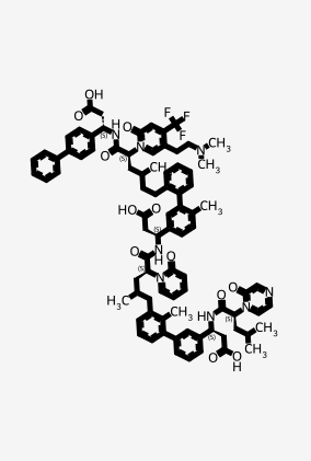 Cc1ccc([C@H](CC(=O)O)NC(=O)[C@H](CC(C)Cc2cccc(-c3cccc([C@H](CC(=O)O)NC(=O)[C@H](CC(C)C)n4ccncc4=O)c3)c2C)n2ccccc2=O)cc1-c1ccccc1CCC(C)C[C@@H](C(=O)N[C@@H](CC(=O)O)c1ccc(-c2ccccc2)cc1)n1cc(CCN(C)C)c(C(F)(F)F)cc1=O